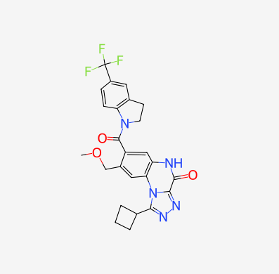 COCc1cc2c(cc1C(=O)N1CCc3cc(C(F)(F)F)ccc31)[nH]c(=O)c1nnc(C3CCC3)n12